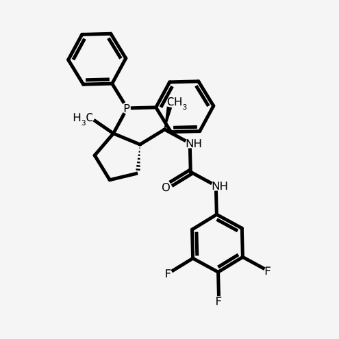 C[C@@H](NC(=O)Nc1cc(F)c(F)c(F)c1)[C@@H]1CCCC1(C)P(c1ccccc1)c1ccccc1